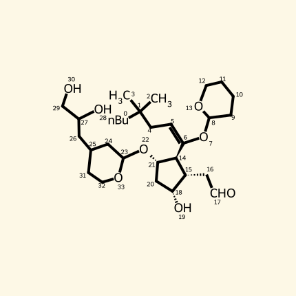 CCCCC(C)(C)CC=C(OC1CCCCO1)[C@H]1[C@H](CC=O)[C@H](O)C[C@@H]1OC1CC(CC(O)CO)CCO1